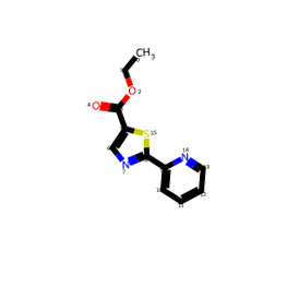 CCOC(=O)c1cnc(-c2ccccn2)s1